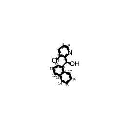 OC(c1ncccc1Cl)c1cccc2ccccc12